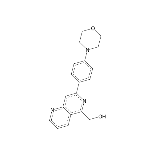 OCc1nc(-c2ccc(N3CCOCC3)cc2)cc2ncccc12